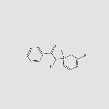 O=C(c1ccccc1)C(Br)C1(F)C=CN=C(F)C1